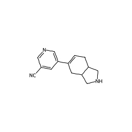 N#Cc1cncc(C2=CCC3CNCC3C2)c1